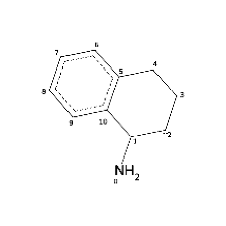 NC1[C]CCc2ccccc21